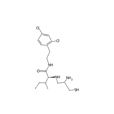 CCC(C)[C@H](NCC(N)CS)C(=O)NCCc1ccc(Cl)cc1Cl